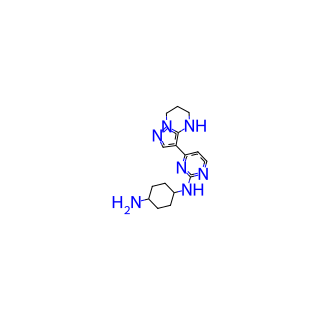 NC1CCC(Nc2nccc(-c3cnn4c3NCCC4)n2)CC1